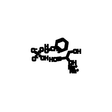 C#CC(O)CO.CO.O=P([O-])([O-])O.[Na+].[Na+].c1ccccc1